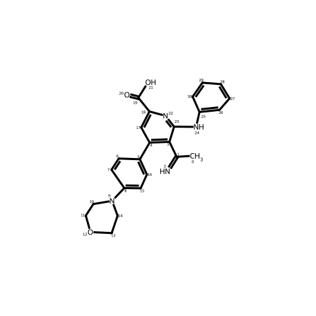 CC(=N)c1c(-c2ccc(N3CCOCC3)cc2)cc(C(=O)O)nc1Nc1ccccc1